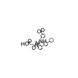 COC(=O)c1cccc(CNc2nn(C(=O)CCC(=O)O)c3cccc(-c4ccc(C5=CCCCC5)cc4)c23)c1